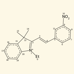 CC[N+]1=C(C=Cc2cccc([N+](=O)[O-])c2)C(C)(C)c2ccccc21